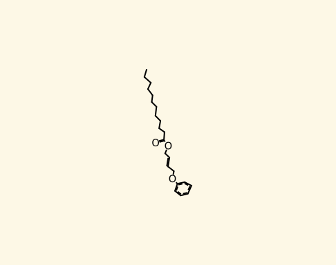 CCCCCCCCCCCC(=O)OCC=CCOc1ccccc1